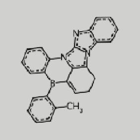 Cc1ccccc1B1C2=CCCc3c2n(c2nc4ccccc4n32)-c2ccccc21